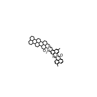 Cc1cc2c(CN3CC4CCC5C6CCC7C8CCCC9CCCC(C%10CCC(C%11CCC(C3)C4C5%11)C6C7%10)C98)c([N+](=O)[O-])cc3nc4c5ccc(C)c6cccc(c(=O)n4c(c1)c32)c65